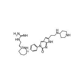 N=C(N)NCC[C@@H]1CCCC[C@@H](c2ccc(-n3cc4cc(CCNC5CCNCC5)[nH]c4nc3=O)cc2)N1